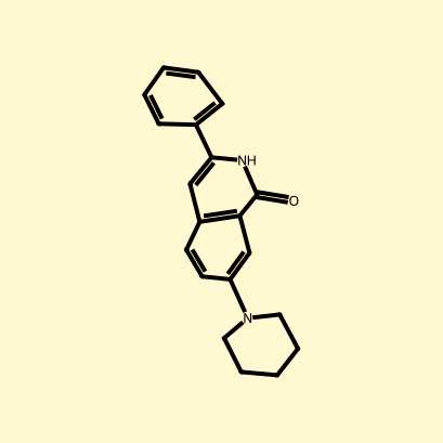 O=c1[nH]c(-c2ccccc2)cc2ccc(N3CCCCC3)cc12